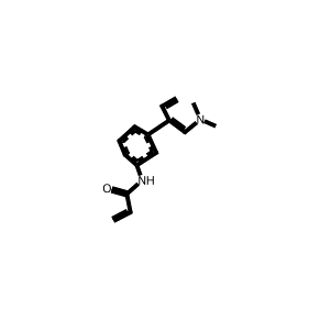 C=CC(=O)Nc1cccc(/C(C=C)=C/N(C)C)c1